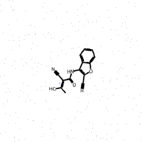 C/C(O)=C(/C#N)C(=O)Nc1c(C#N)oc2ccccc12